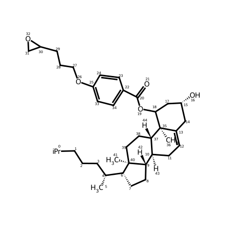 CC(C)CCC[C@@H](C)[C@H]1CC[C@H]2[C@@H]3CC=C4C[C@@H](O)CC(OC(=O)c5ccc(OCCCC6CO6)cc5)[C@]4(C)[C@H]3CC[C@]12C